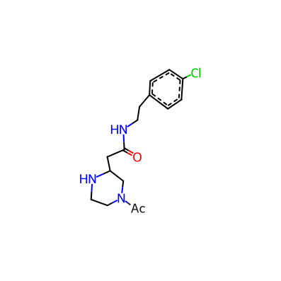 CC(=O)N1CCNC(CC(=O)NCCc2ccc(Cl)cc2)C1